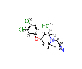 CC1(C)CC(Oc2ccc(Cl)c(Cl)c2)CC(C)(C)N1CC#N.Cl